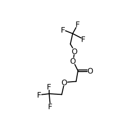 O=C(COCC(F)(F)F)OOCC(F)(F)F